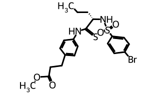 CCC[C@H](NS(=O)(=O)c1ccc(Br)cc1)C(=S)Nc1ccc(CCC(=O)OC)cc1